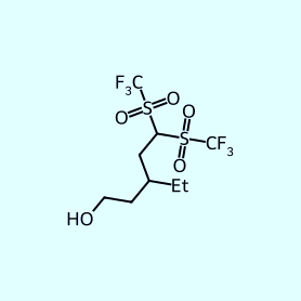 CCC(CCO)CC(S(=O)(=O)C(F)(F)F)S(=O)(=O)C(F)(F)F